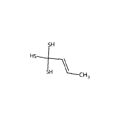 CC=CC(S)(S)S